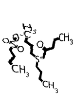 CCCCS(=O)(=O)[O-].CCCC[S+](CCCC)CC(=O)CCC